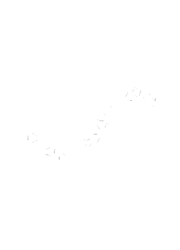 COc1ccc(COc2c(F)cc(C(=O)NCC3CCC(n4cc5ccc(-c6cnc(N7CCN(CCCc8ccn9c(N%10CCC(=O)NC%10=O)cnc9c8)CC7)nc6)cc5n4)CC3)c(F)c2F)cc1